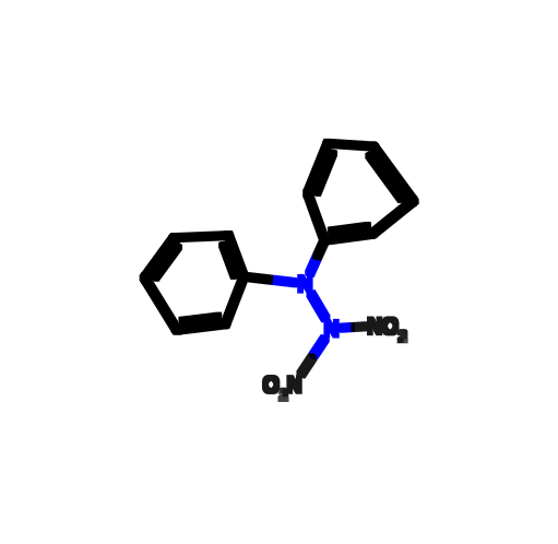 O=[N+]([O-])N(N(c1ccccc1)c1ccccc1)[N+](=O)[O-]